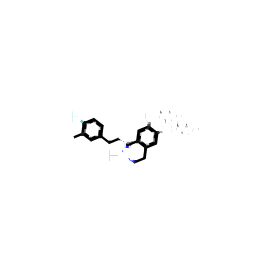 COc1cc2c(cc1OC)[C@H](CCc1ccc(F)c(C)c1)NCC2